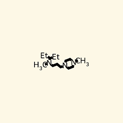 CCC(CC)N(C)CCCN1CCN(C)CC1